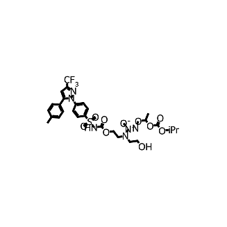 Cc1ccc(-c2cc(C(F)(F)F)nn2-c2ccc(S(=O)(=O)NC(=O)OCCN(CCO)/[N+]([O-])=N/OC(C)OC(=O)OC(C)C)cc2)cc1